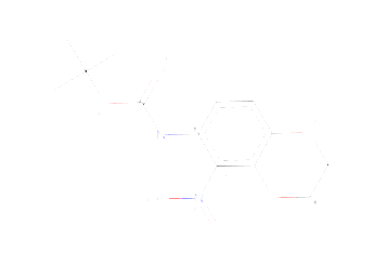 CC(C)(C)OC(=O)Nc1ccc2c(c1[N+](=O)[O-])OCCO2